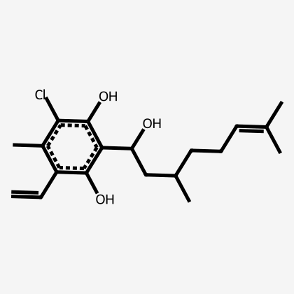 C=Cc1c(C)c(Cl)c(O)c(C(O)CC(C)CCC=C(C)C)c1O